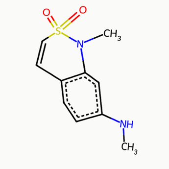 CNc1ccc2c(c1)N(C)S(=O)(=O)C=C2